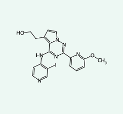 COc1cccc(-c2nc(Nc3ccncc3I)c3c(CCO)ccn3n2)n1